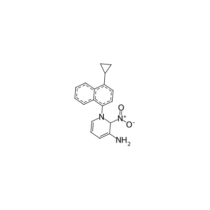 NC1=CC=CN(c2ccc(C3CC3)c3ccccc23)C1[N+](=O)[O-]